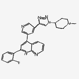 CN1CCC(n2cc(-c3cncc(-c4cc(-c5ccccc5F)nc5ncccc45)c3)nn2)CC1